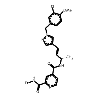 CCNC(=O)c1cc(C(=O)N[C@@H](C)/C=C/c2cnn(Cc3ccc(OC)c(Cl)c3)c2)ccn1